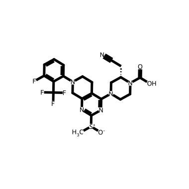 C[S+]([O-])c1nc2c(c(N3CCN(C(=O)O)[C@@H](CC#N)C3)n1)CCN(c1cccc(F)c1C(F)(F)F)C2